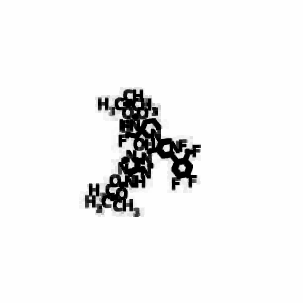 CC(C)(C)OC(=O)Nc1ncnc2c1ncn2Cc1cc(-c2cc(F)c(F)cc2C(F)F)ncc1N1CCCC(NC(=O)OC(C)(C)C)(C(O)C(F)F)C1